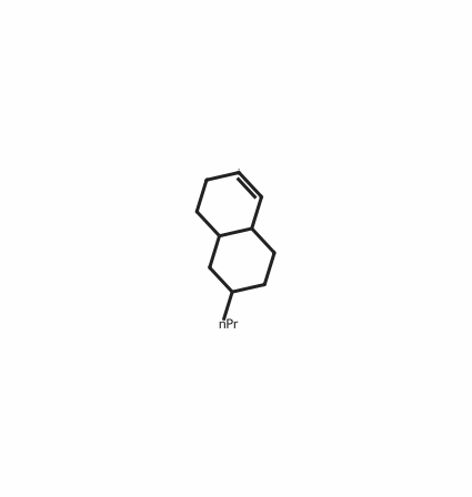 CCCC1CCC2C=[C]CCC2C1